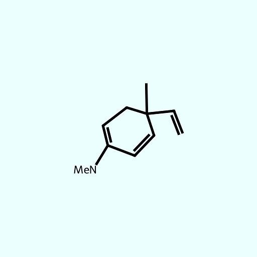 C=CC1(C)C=CC(NC)=CC1